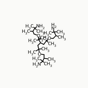 CC(COC(C)(C)CC(CC(C)(C)OCC(C)C(C)(C)N)C(C)(C)OCC(C)C(C)(C)N)C(C)(C)N